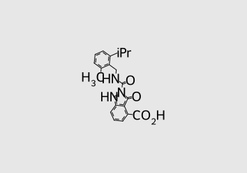 Cc1cccc(C(C)C)c1CNC(=O)n1[nH]c2cccc(C(=O)O)c2c1=O